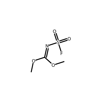 COC(=NS(=O)(=O)F)OC